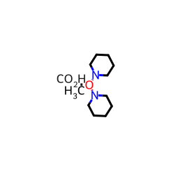 C1CCN(ON2CCCCC2)CC1.CC(=O)O